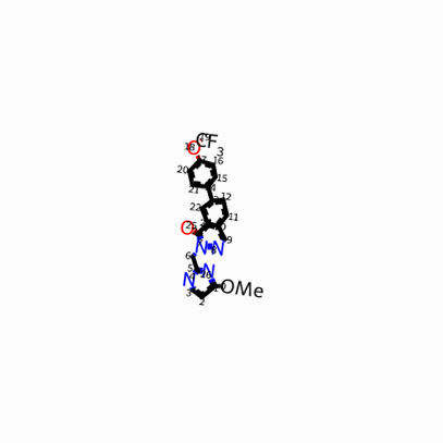 COc1ccnc(Cn2ncc3ccc(-c4ccc(OC(F)(F)F)cc4)cc3c2=O)n1